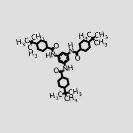 CC(C)(C)C1CCC(C(=O)Nc2cc(NC(=O)C3CCC(C(C)(C)C)CC3)cc(NC(=O)C3CCC(C(C)(C)C)CC3)c2)CC1